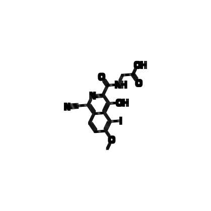 COc1ccc2c(C#N)nc(C(=O)NCC(=O)O)c(O)c2c1I